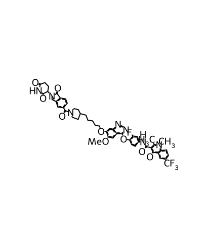 COc1cc2c(Oc3ccc(NC(=O)c4c(C)n(C)c5ccc(C(F)(F)F)cc5c4=O)cc3F)ncnc2cc1OCCCCCC1CCN(C(=O)c2ccc3c(c2)CN(C2CCC(=O)NC2=O)C3=O)CC1